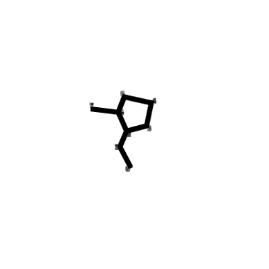 CCC1CCC[C]1C